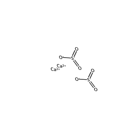 O=[S-](=O)[O-].O=[S-](=O)[O-].[Ca+2].[Ca+2]